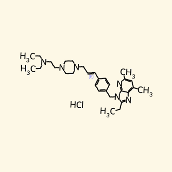 CCc1nc2c(C)cc(C)nc2n1Cc1ccc(/C=C/CN2CCN(CCN(CC)CC)CC2)cc1.Cl